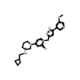 COc1cncc(-c2cc(Cn3ccc(N4CCC[C@@H](NCC5CCC5)C4)cc3=O)n[nH]2)c1